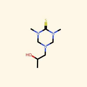 CC(O)CN1CN(C)C(=S)N(C)C1